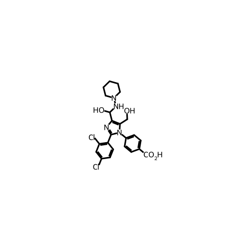 O=C(O)c1ccc(-n2c(-c3ccc(Cl)cc3Cl)nc(C(O)NN3CCCCC3)c2CO)cc1